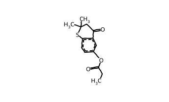 CCC(=O)Oc1ccc2c(c1)C(=O)CC(C)(C)S2